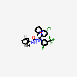 O=C(N[C@@H]1C[C@H]2CC[C@H]1C2)N[C@](Cc1ccccc1)(c1cc(F)cc(C(F)(F)F)c1)c1ccc(Cl)cn1